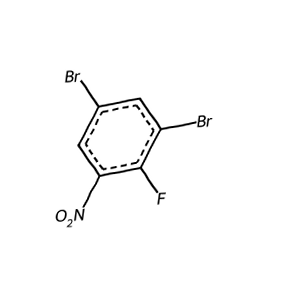 O=[N+]([O-])c1cc(Br)cc(Br)c1F